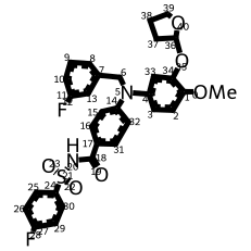 COc1ccc(N(Cc2cccc(F)c2)c2ccc(C(=O)NS(=O)(=O)c3ccc(F)cc3)cc2)cc1OC1CCCO1